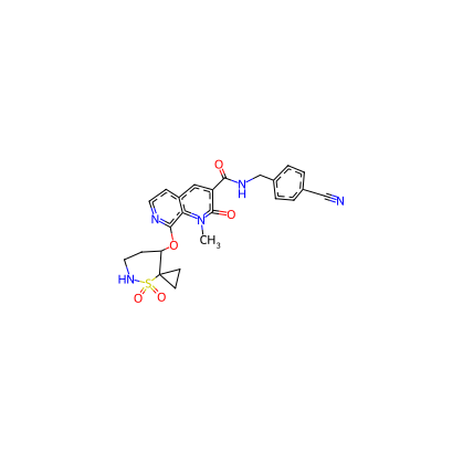 Cn1c(=O)c(C(=O)NCc2ccc(C#N)cc2)cc2ccnc(OC3CCNS(=O)(=O)C34CC4)c21